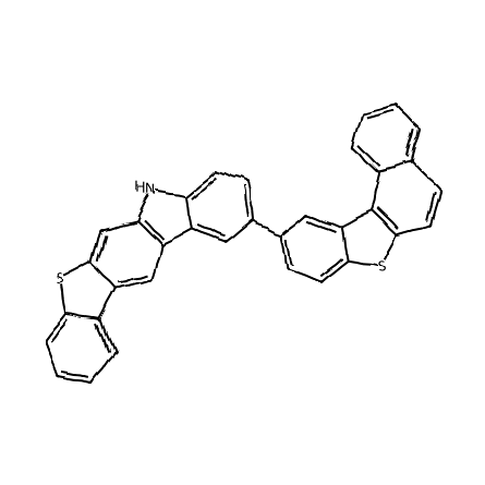 c1ccc2c(c1)ccc1sc3ccc(-c4ccc5[nH]c6cc7sc8ccccc8c7cc6c5c4)cc3c12